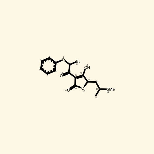 CCC(Oc1ccccc1)C(=O)C1=C(O)C(CC(C)SC)OC1=O